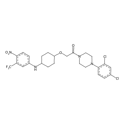 O=C(COC1CCC(Nc2ccc([N+](=O)[O-])c(C(F)(F)F)c2)CC1)N1CCN(c2ccc(Cl)cc2Cl)CC1